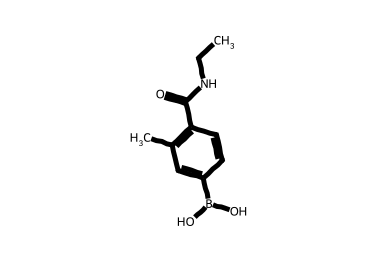 CCNC(=O)c1ccc(B(O)O)cc1C